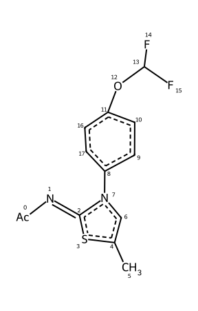 CC(=O)N=c1sc(C)cn1-c1ccc(OC(F)F)cc1